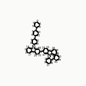 c1ccc(-c2ccc(-c3ccc(-n4c5ccccc5c5ccc(-c6ccc7c8ccccc8n(-c8ccccc8-c8ccccc8)c7c6)cc54)cc3)cc2)cc1